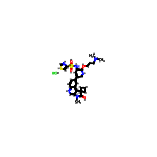 CN(C)CCCOc1ncc(-c2ccc3ncc4c(c3c2)C2(CCC2)C(=O)N4C)cc1NS(=O)(=O)c1cscn1.Cl